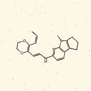 C/C=C\C1=C(/C=C/Nc2ccc3c4c(n(C)c3n2)CCC4)OCCO1